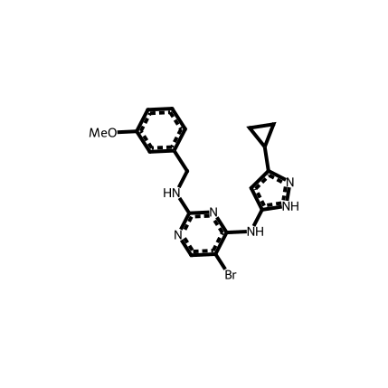 COc1cccc(CNc2ncc(Br)c(Nc3cc(C4CC4)n[nH]3)n2)c1